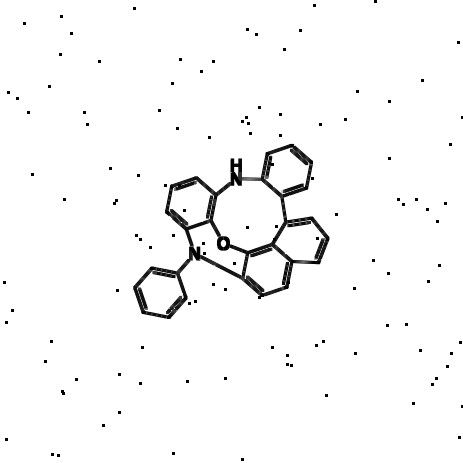 c1ccc(N2c3cccc4c3Oc3c2ccc2cccc(c32)-c2ccccc2N4)cc1